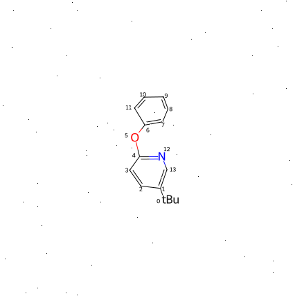 CC(C)(C)c1ccc(Oc2ccccc2)nc1